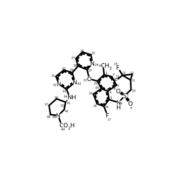 Cc1ccc2c(NS(=O)(=O)CC3CC3(F)F)c(F)ccc2c1Oc1ncccc1-c1ccnc(N[C@H]2CCCN(C(=O)O)C2)n1